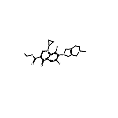 CCOC(=O)c1cn(C2CC2)c2c(F)c(N3CC4=C(CN(C)CC4)C3)c(F)cc2c1=O